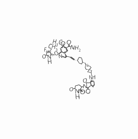 CC[C@@H]1[C@H](F)C(=O)N[C@@H]1COc1ncc(C#C[C@H]2CC[C@H](CN3CCC4(CC3)CC(CNc3cccc5c3C(=O)N(C3CCC(=O)NC3=O)C5=O)C4)CC2)c2cc(C(N)=O)c(OC)cc12